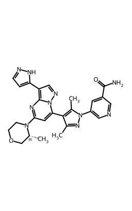 Cc1nn(-c2cncc(C(N)=O)c2)c(C)c1-c1cc(N2CCOC[C@H]2C)nc2c(-c3ccn[nH]3)cnn12